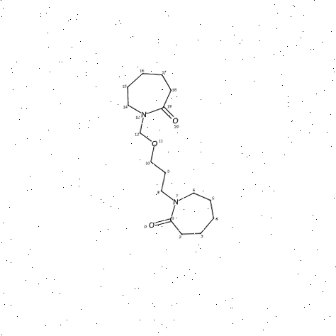 O=C1CCCCCN1CCCOCN1CCCCCC1=O